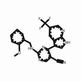 COc1ccccc1CNc1ncc(C#N)c(-c2c[nH]c3ncc(C(F)(F)F)cc23)n1